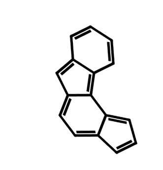 C1=Cc2ccc3c(c2=C1)=c1ccccc1=C3